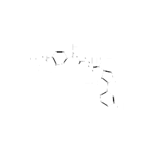 C/C(=N\NC(=S)Nc1ccc([N+](=O)[O-])c(C(=O)O)c1)c1csc(-c2cccc(Cl)c2)c1O